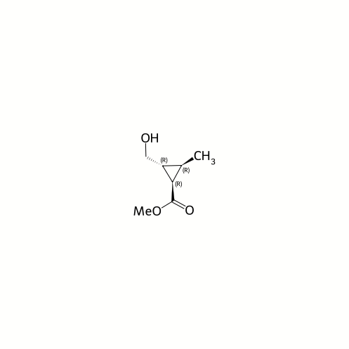 COC(=O)[C@@H]1[C@H](C)[C@H]1CO